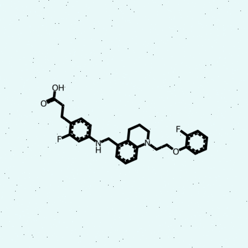 O=C(O)CCc1ccc(NCc2cccc3c2CCCN3CCOc2ccccc2F)cc1F